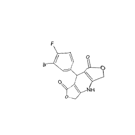 O=C1OCC2=C1C(c1ccc(F)c(Br)c1)C1=C(COC1=O)N2